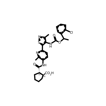 Cc1nc(-c2snc(C)c2NC(=O)OC(C)c2ccccc2Cl)ccc1NC(=O)[C@H]1CCCC[C@@H]1C(=O)O